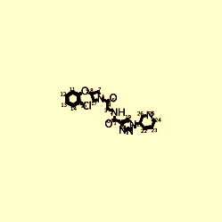 O=C(NCC(=O)N1CC(Oc2ccccc2Cl)C1)c1cn(C2C=CC=NC2)nn1